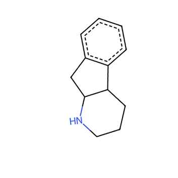 c1ccc2c(c1)CC1NCCCC21